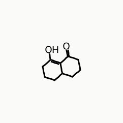 O=C1CCCC2CCCC(O)=C12